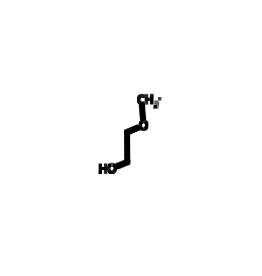 [CH2]OCCO